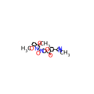 COc1cc(C(=O)N2CCC3(CC2)CC(=O)c2cc(-c4cnn(C)c4)ccc2O3)nc2c(OC)cccc12